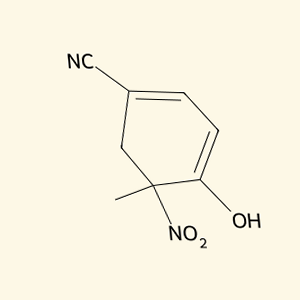 CC1([N+](=O)[O-])CC(C#N)=CC=C1O